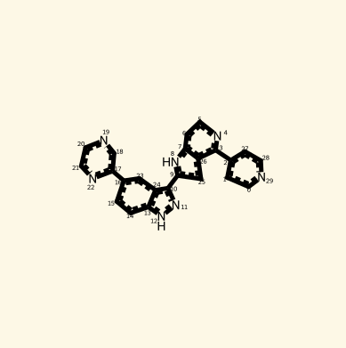 c1cc(-c2nccc3[nH]c(-c4n[nH]c5ccc(-c6cnccn6)cc45)cc23)ccn1